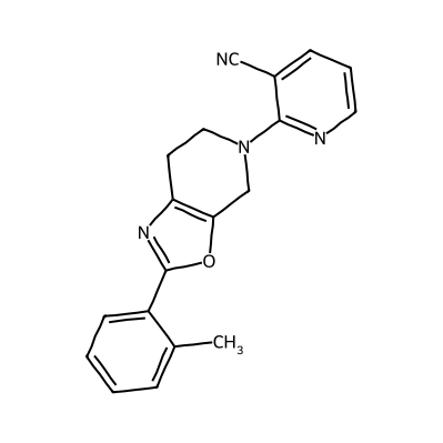 Cc1ccccc1-c1nc2c(o1)CN(c1ncccc1C#N)CC2